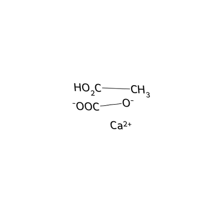 CC(=O)O.O=C([O-])[O-].[Ca+2]